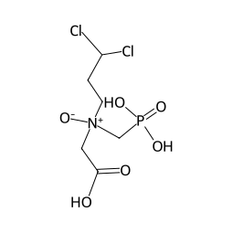 O=C(O)C[N+]([O-])(CCC(Cl)Cl)CP(=O)(O)O